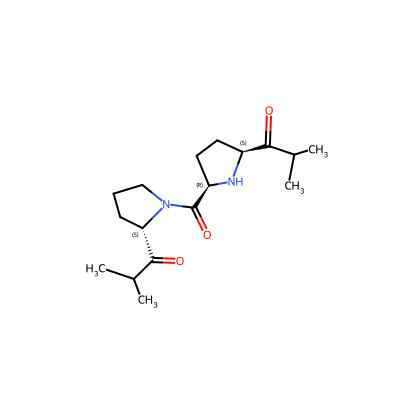 CC(C)C(=O)[C@@H]1CC[C@H](C(=O)N2CCC[C@H]2C(=O)C(C)C)N1